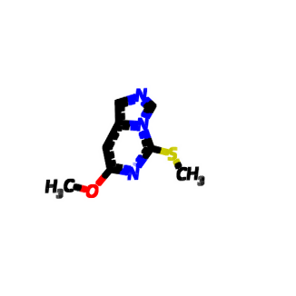 COc1cc2cncn2c(SC)n1